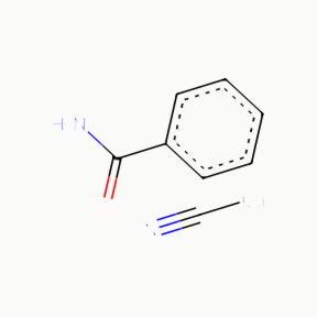 N#[C][Cu].NC(=O)c1ccccc1